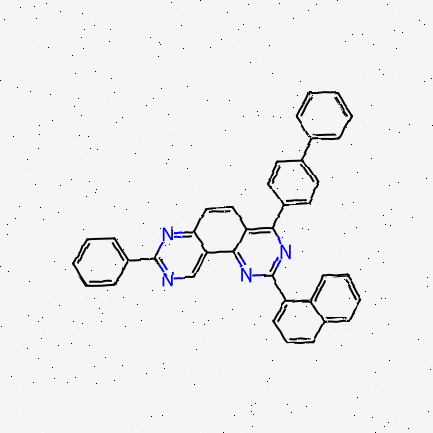 c1ccc(-c2ccc(-c3nc(-c4cccc5ccccc45)nc4c3ccc3nc(-c5ccccc5)ncc34)cc2)cc1